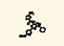 COc1ccc(-c2nc(NC(=O)c3ccc([N+](=O)[O-])s3)c3cnn(C4CCCCC4)c3n2)cn1